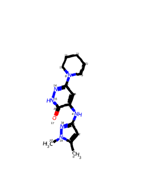 Cc1cc(Nc2cc(N3CCCCC3)n[nH]c2=O)nn1C